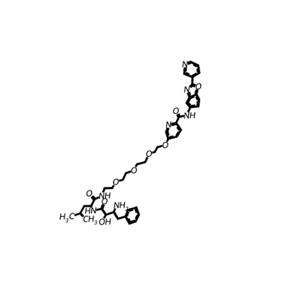 CC(C)CC(NC(=O)C(O)C(N)Cc1ccccc1)C(=O)NCCOCCOCCOCCOc1ccc(C(=O)Nc2ccc3oc(-c4cccnc4)nc3c2)nc1